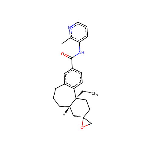 Cc1ncccc1NC(=O)c1ccc2c(c1)CCC[C@H]1C[C@]3(CC[C@@]21CC(F)(F)F)CO3